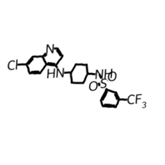 O=S(=O)(NC1CCC(Nc2ccnc3cc(Cl)ccc23)CC1)c1cccc(C(F)(F)F)c1